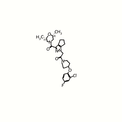 C[C@@H]1CN(C(=O)c2nn(CC(=O)N3CCC(Oc4ccc(F)cc4Cl)CC3)c3c2CCC3)C[C@H](C)O1